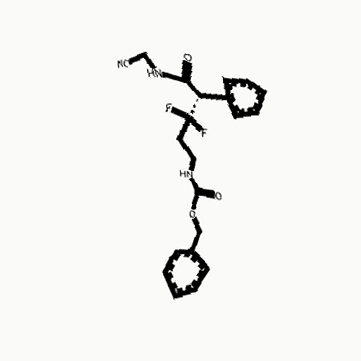 N#CCNC(=O)[C@H](c1ccccc1)C(F)(F)CCNC(=O)OCc1ccccc1